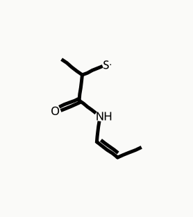 C/C=C\NC(=O)C(C)[S]